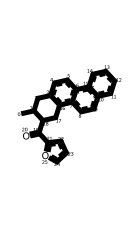 CC1Cc2ccc3c(ccc4ccccc43)c2CC1C(=O)c1ccco1